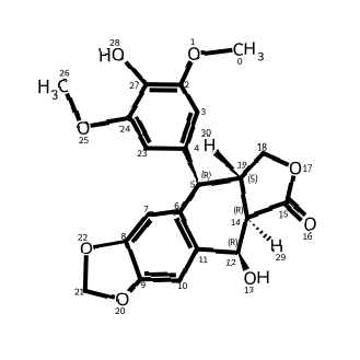 COc1cc([C@@H]2c3cc4c(cc3[C@H](O)[C@@H]3C(=O)OC[C@@H]23)OCO4)cc(OC)c1O